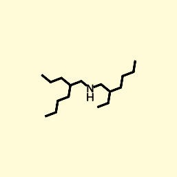 CCCCC(CC)CNCC(CCC)CCCC